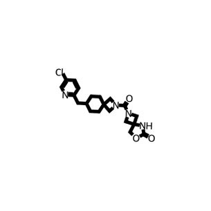 O=C1NC2(CO1)CN(C(=O)N1CC3(CCC(Cc4ccc(Cl)cn4)CC3)C1)C2